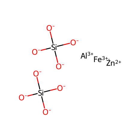 [Al+3].[Fe+3].[O-][Si]([O-])([O-])[O-].[O-][Si]([O-])([O-])[O-].[Zn+2]